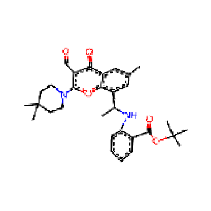 Cc1cc(C(C)Nc2ccccc2C(=O)OC(C)(C)C)c2oc(N3CCC(C)(C)CC3)c(C=O)c(=O)c2c1